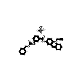 C#CC[n+]1c2c(cc3cc(NC(=O)c4cccc(NC(=S)OCC5CCCCC5)c4)ccc31)CCCC2.O=S(=O)([O-])C(F)(F)F